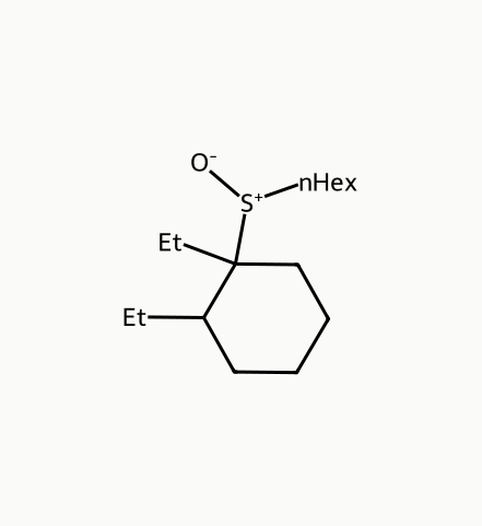 CCCCCC[S+]([O-])C1(CC)CCCCC1CC